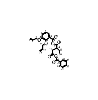 C=CCOc1cccc(C(=O)OC(=O)C(CC)CC(=O)OC(=O)c2ccccc2)c1OCC=C